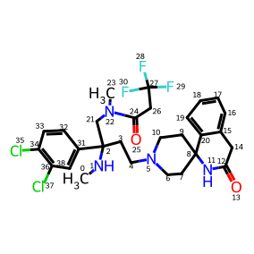 CNC(CCN1CCC2(CC1)NC(=O)Cc1ccccc12)(CN(C)C(=O)CC(F)(F)F)c1ccc(Cl)c(Cl)c1